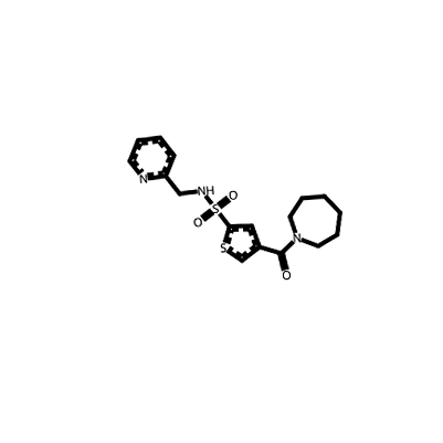 O=C(c1csc(S(=O)(=O)NCc2ccccn2)c1)N1CCCCCC1